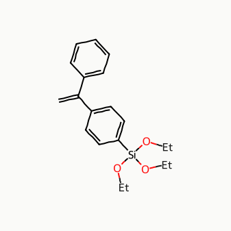 C=C(c1ccccc1)c1ccc([Si](OCC)(OCC)OCC)cc1